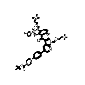 CC(C)(C)OC(=O)N1CCN(c2ccc(-c3cnc4c(c3)c(C(=O)c3c(F)ccc(N(COCC[Si](C)(C)C)S(=O)(=O)N5CC[C@@H](F)C5)c3F)cn4COCC[Si](C)(C)C)cc2)CC1